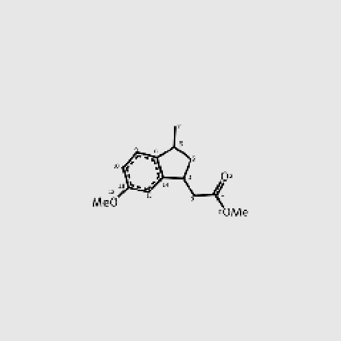 COC(=O)CC1CC(C)c2ccc(OC)cc21